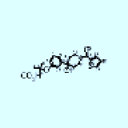 CC(C)(Oc1cccc(C2(O)CCN(C(=O)c3cccs3)CC2)c1)C(=O)O